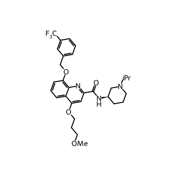 COCCCOc1cc(C(=O)N[C@@H]2CCCN(C(C)C)C2)nc2c(OCc3cccc(C(F)(F)F)c3)cccc12